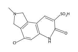 CN1Cc2c(Cl)cc3[nH]c(=O)c(S(=O)(=O)O)cc3c2C1